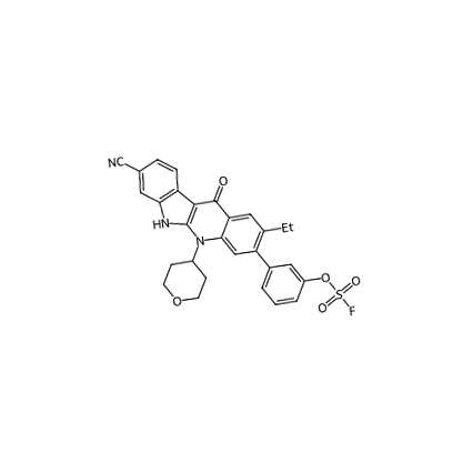 CCc1cc2c(=O)c3c4ccc(C#N)cc4[nH]c3n(C3CCOCC3)c2cc1-c1cccc(OS(=O)(=O)F)c1